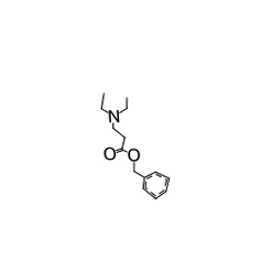 CCN(CC)CCC(=O)OCc1ccccc1